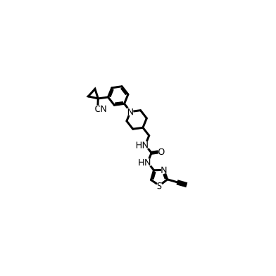 C#Cc1nc(NC(=O)NCC2CCN(c3cccc(C4(C#N)CC4)c3)CC2)cs1